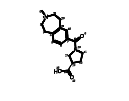 CN1CCc2ccc(C(=O)N3CC[C@H](C(=O)O)C3)cc2CC1